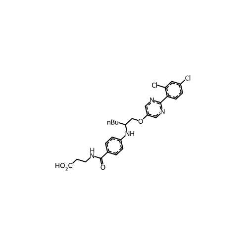 CCCCC(COc1cnc(-c2ccc(Cl)cc2Cl)nc1)Nc1ccc(C(=O)NCCC(=O)O)cc1